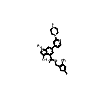 CCCC1=C(CNC(=O)c2cc(-c3ccnc(N4CCNCC4)c3)cc3c2c(O)cn3C(C)C)CC(C)=C1